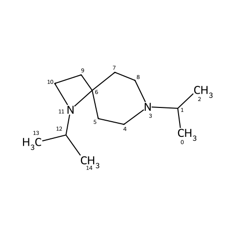 CC(C)N1CCC2(CC1)CCN2C(C)C